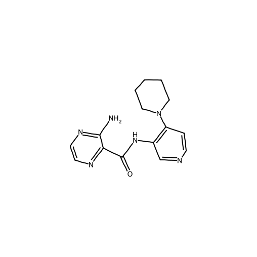 Nc1nccnc1C(=O)Nc1cnccc1N1CCCCC1